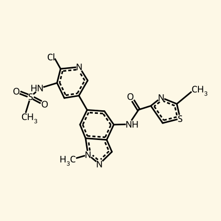 Cc1nc(C(=O)Nc2cc(-c3cnc(Cl)c(NS(C)(=O)=O)c3)cc3c2cnn3C)cs1